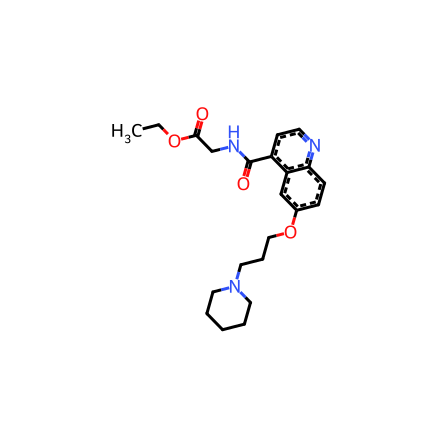 CCOC(=O)CNC(=O)c1ccnc2ccc(OCCCN3CCCCC3)cc12